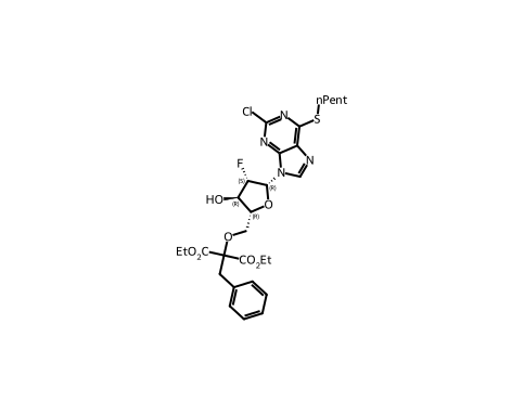 CCCCCSc1nc(Cl)nc2c1ncn2[C@@H]1O[C@H](COC(Cc2ccccc2)(C(=O)OCC)C(=O)OCC)[C@@H](O)[C@@H]1F